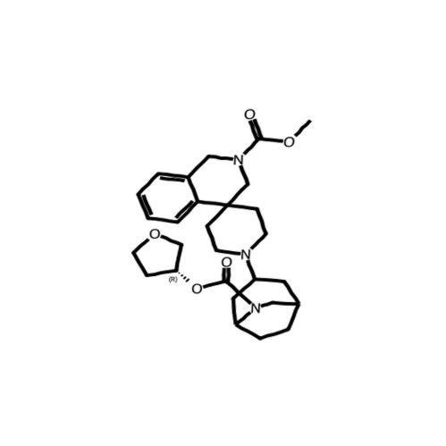 COC(=O)N1Cc2ccccc2C2(CCN(C3CC4CCC(C3)N(C(=O)O[C@@H]3CCOC3)C4)CC2)C1